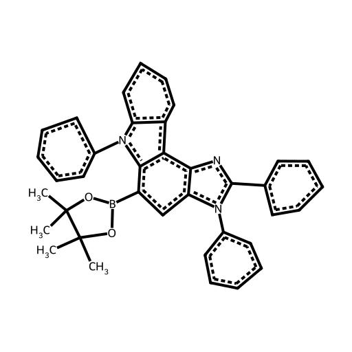 CC1(C)OB(c2cc3c(nc(-c4ccccc4)n3-c3ccccc3)c3c4ccccc4n(-c4ccccc4)c23)OC1(C)C